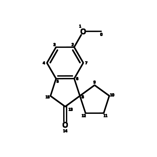 COc1ccc2c(c1)C1(CCCC1)C(=O)C2